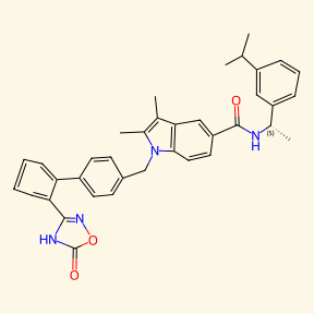 Cc1c(C)n(Cc2ccc(-c3ccccc3-c3noc(=O)[nH]3)cc2)c2ccc(C(=O)N[C@@H](C)c3cccc(C(C)C)c3)cc12